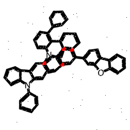 c1ccc(-c2ccccc2-c2c(-c3ccccc3)cccc2N(c2ccc(-c3ccc4c(c3)oc3ccccc34)cc2)c2ccc3c(c2)c2ccccc2n3-c2ccccc2)cc1